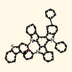 c1ccc(-c2ccc3c(c2)c2c4c5ccccc5n(-c5ccc6c(c5)sc5ccccc56)c4c4c(c5ccccc5n4-c4ccccc4)c2n3-c2ccccc2)cc1